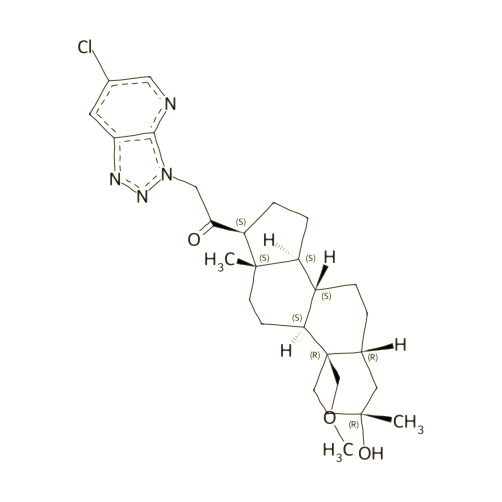 COC[C@]12CC[C@@](C)(O)C[C@H]1CC[C@H]1[C@@H]3CC[C@H](C(=O)Cn4nnc5cc(Cl)cnc54)[C@@]3(C)CC[C@@H]12